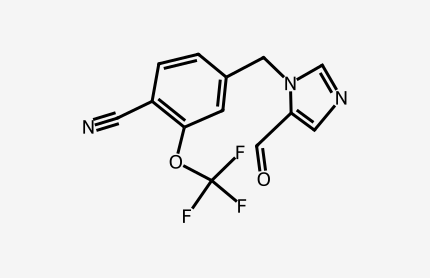 N#Cc1ccc(Cn2cncc2C=O)cc1OC(F)(F)F